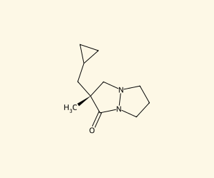 C[C@@]1(CC2CC2)CN2CCCN2C1=O